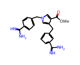 COC(=O)c1cn(Cc2ccc(C(=N)N)cc2)cc1Cc1cccc(C(=N)N)c1